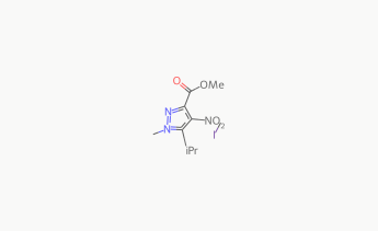 CI.COC(=O)c1nn(C)c(C(C)C)c1[N+](=O)[O-]